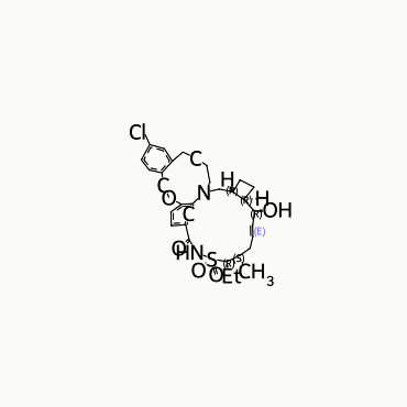 CC[C@@H]1[C@@H](C)C/C=C/[C@H](O)[C@@H]2CC[C@H]2CN2CCCCc3cc(Cl)ccc3COc3ccc(cc32)C(=O)NS1(=O)=O